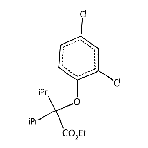 CCOC(=O)C(Oc1ccc(Cl)cc1Cl)(C(C)C)C(C)C